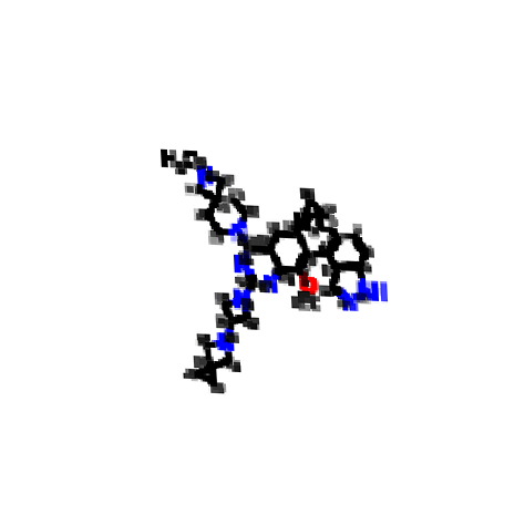 CCOc1c(-c2c(C)ccc3[nH]ncc23)c(C2CC2)cc2c(N3CCC4(CC3)CN(C)C4)nc(N3CC(N4CC5(CC5)C4)C3)nc12